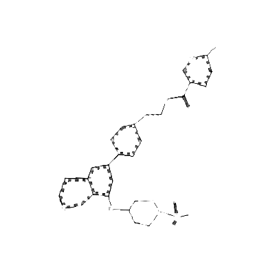 CCS(=O)(=O)N1CCC(Nc2cc(-c3ccc(CCNC(=O)c4ccc(C)nc4)cc3)cc3ccncc23)CC1